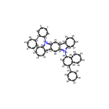 c1ccc(-c2ccccc2-n2c3ccccc3c3cc4c(cc32)c2ccccc2n4-c2ccc(-c3ccccc3)c3ccccc23)cc1